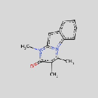 Cc1c(C)n2c3ccccc3cc2n(C)c1=O